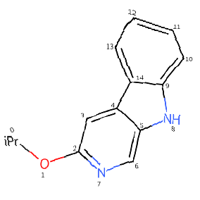 CC(C)Oc1cc2c(cn1)[nH]c1ccccc12